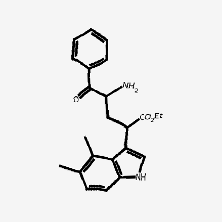 CCOC(=O)C(CC(N)C(=O)c1ccccc1)c1c[nH]c2ccc(C)c(C)c12